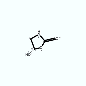 O=C1NC[C@@H](O)O1